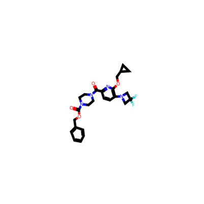 O=C(OCc1ccccc1)N1CCN(C(=O)c2ccc(N3CC(F)(F)C3)c(OCC3CC3)n2)CC1